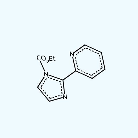 CCOC(=O)n1ccnc1-c1ccccn1